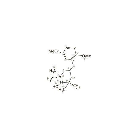 COc1ccc(OC)c(CC2CC(C)(C)N(O)C(C)(C)C2)c1